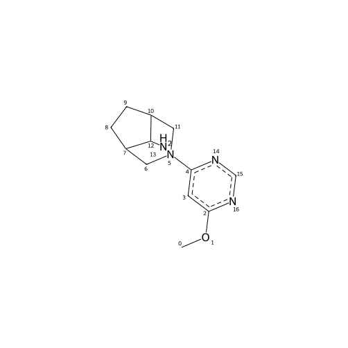 COc1cc(N2CC3CCC(C2)C3N)ncn1